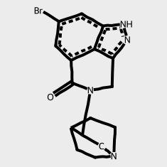 O=C1c2cc(Br)cc3[nH]nc(c23)CN1C1CN2CCC1CC2